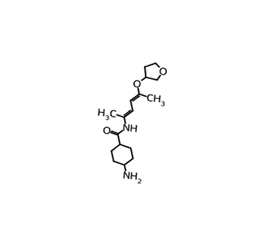 C/C(=C\C=C(/C)OC1CCOC1)NC(=O)C1CCC(N)CC1